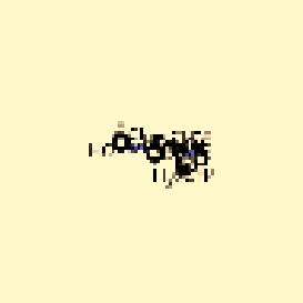 C=C1/C(=C\C=C2/CCC[C@]3(C)[C@@H]([C@](C)(C/C=C\C(O)(C(F)(F)F)C(F)(F)F)CCCC(C)(C)O)CC[C@@H]23)C[C@@H](O)C[C@@H]1F